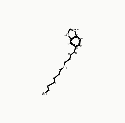 BrCCCCCCOCCCCc1ccc2c(c1)OCO2